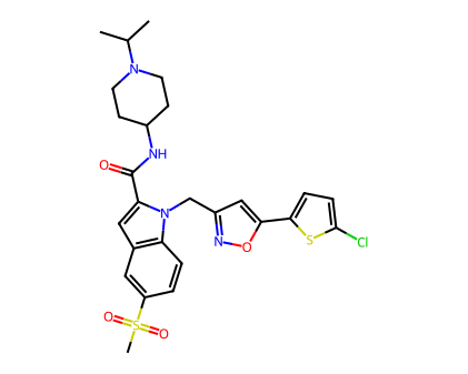 CC(C)N1CCC(NC(=O)c2cc3cc(S(C)(=O)=O)ccc3n2Cc2cc(-c3ccc(Cl)s3)on2)CC1